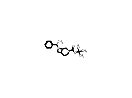 C[C@@H](c1ccccc1)N1CC2CCN(C(=O)OC(C)(C)C)CC21